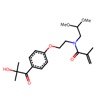 C=C(C)C(=O)N(CCOc1ccc(C(=O)C(C)(C)O)cc1)CC(OC)OC